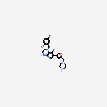 Cc1c(-c2coc(CN3CCNCC3)c2)cnc2c1N(Cc1cc(C(F)(F)F)ccc1Cl)CCN2